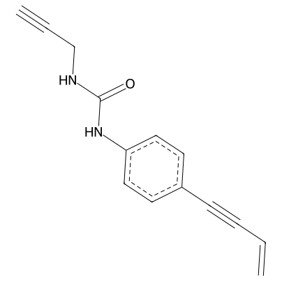 C#CCNC(=O)Nc1ccc(C#CC=C)cc1